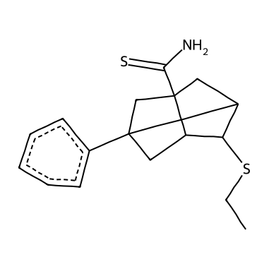 CCSC1C2CC3(c4ccccc4)CC2(C(N)=S)CC13